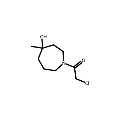 CC1(O)CCCN(C(=O)CCl)CC1